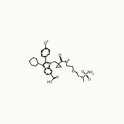 COc1ccc(-c2c(C3CCCCC3)c3ccc(C(=O)O)cc3n2CC2(C(=O)N(C)CCOCCN(C)S(N)(=O)=O)CC2)cc1